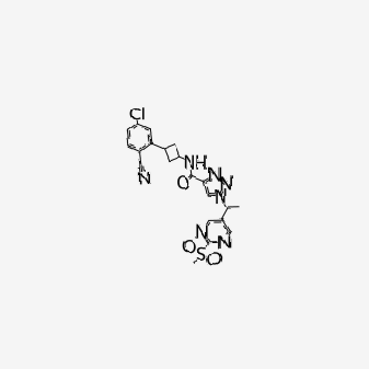 CC(c1cnc(S(C)(=O)=O)nc1)n1cc(C(=O)NC2CC(c3cc(Cl)ccc3C#N)C2)nn1